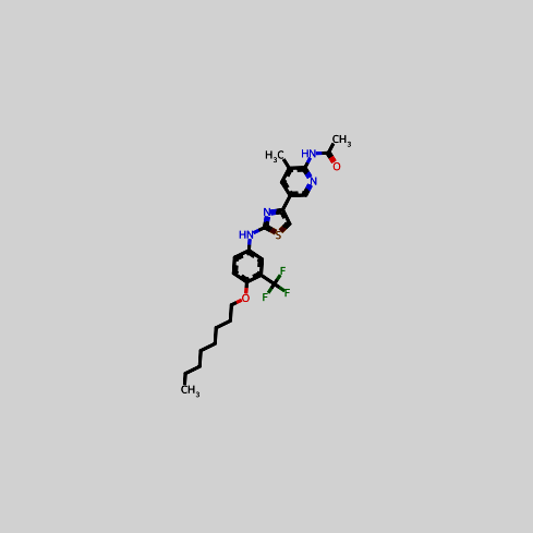 CCCCCCCCOc1ccc(Nc2nc(-c3cnc(NC(C)=O)c(C)c3)cs2)cc1C(F)(F)F